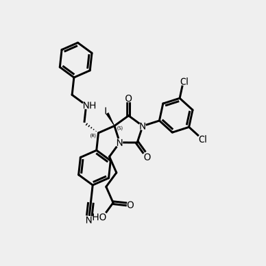 N#Cc1ccc([C@H](CNCc2ccccc2)[C@]2(I)C(=O)N(c3cc(Cl)cc(Cl)c3)C(=O)N2CCCC(=O)O)cc1